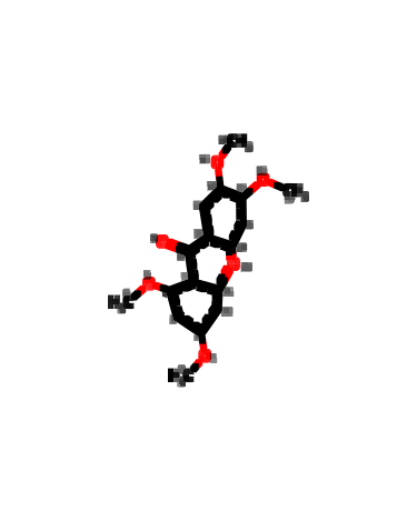 COc1cc(OC)c2c(=O)c3cc(OC)c(OC)cc3oc2c1